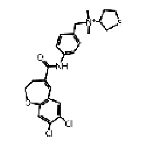 C[N+](C)(Cc1ccc(NC(=O)C2=Cc3cc(Cl)c(Cl)cc3OCC2)cc1)C1CCSC1